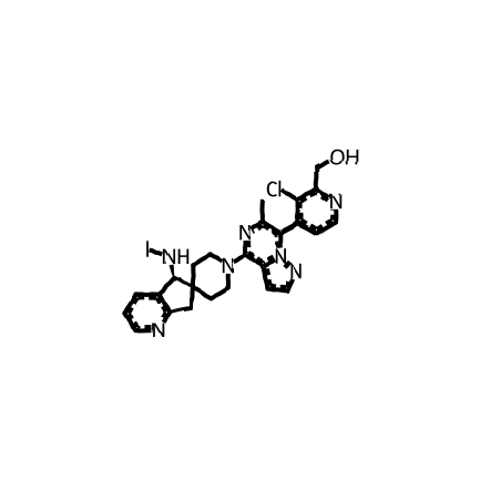 Cc1nc(N2CCC3(CC2)Cc2ncccc2[C@H]3NI)c2ccnn2c1-c1ccnc(CO)c1Cl